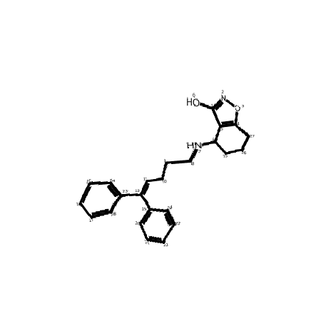 Oc1noc2c1C(NCCCC=C(c1ccccc1)c1ccccc1)CCC2